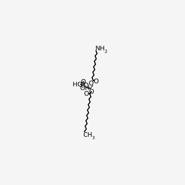 CCCCCCCCCCCCCCCC(=O)O[C@H](COC(=O)CCCCCCCCCCCN)COP(=O)(O)O